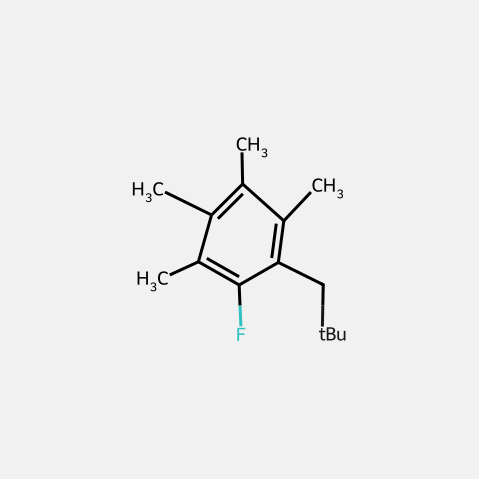 Cc1c(C)c(C)c(CC(C)(C)C)c(F)c1C